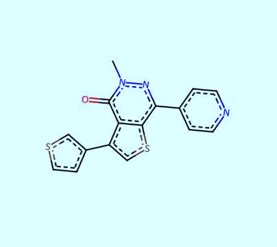 Cn1nc(-c2ccncc2)c2scc(-c3ccsc3)c2c1=O